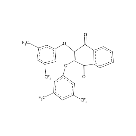 O=C1C(Oc2cc(C(F)(F)F)cc(C(F)(F)F)c2)=C(Oc2cc(C(F)(F)F)cc(C(F)(F)F)c2)C(=O)c2ccccc21